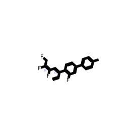 C=C/C(=C\C(F)=C(\F)CF)c1ccc(-c2ccc(C)cc2)cc1F